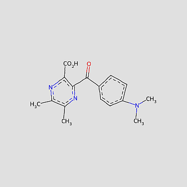 Cc1nc(C(=O)O)c(C(=O)c2ccc(N(C)C)cc2)nc1C